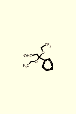 O=[C]CC(OCC(F)(F)F)(OCC(F)(F)F)c1ccccc1